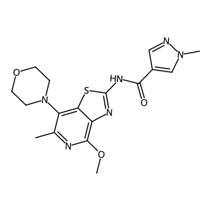 COc1nc(C)c(N2CCOCC2)c2sc(NC(=O)c3cnn(C)c3)nc12